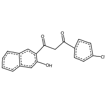 O=C(CC(=O)c1cc2ccccc2cc1O)c1ccc(Cl)cc1